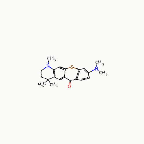 CN(C)c1ccc2c(=O)c3cc4c(cc3sc2c1)N(C)CCC4(C)C